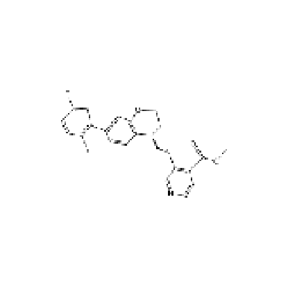 COC(=O)c1ccncc1NC[C@@H]1CCOc2cc(-c3cc(F)ccc3C)ccc21